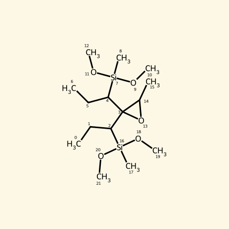 CCC(C1(C(CC)[Si](C)(OC)OC)OC1C)[Si](C)(OC)OC